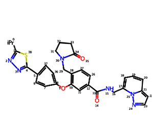 CC(C)c1nnc(-c2ccc(Oc3cc(C(=O)NCc4cccc5ccnn45)ccc3CN3CCCC3=O)cc2)s1